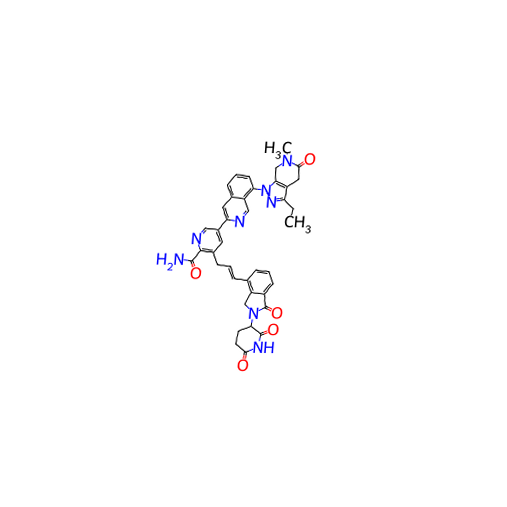 CCc1nn(-c2cccc3cc(-c4cnc(C(N)=O)c(CC=Cc5cccc6c5CN(C5CCC(=O)NC5=O)C6=O)c4)ncc23)c2c1CC(=O)N(C)C2